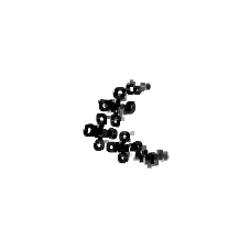 [Co+2].[Mn+2].[Ni+2].[O]=[Mn](=[O])([O-])[O-].[O]=[Mn](=[O])([O-])[O-].[O]=[Mn](=[O])([O-])[O-]